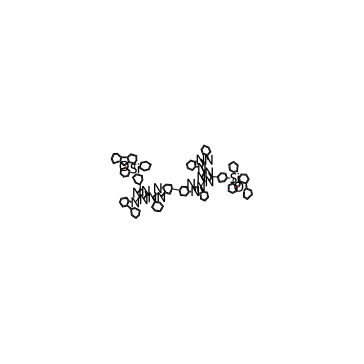 c1ccc([Si](c2ccccc2)(c2ccc(-c3nc(-n4c5ccccc5c5ccccc54)nc(-n4c5ccccc5n5c6cc(-c7ccc8c(c7)nc7n(-c9nc(-c%10ccc([Si](c%11ccccc%11)(c%11ccccc%11)c%11cccc%12c%11oc%11ccccc%11%12)cc%10)nc(-n%10c%11ccccc%11n%11c%12ccccc%12nc%10%11)n9)c9ccccc9n87)ccc6nc45)n3)cc2)c2cccc3c2oc2ccccc23)cc1